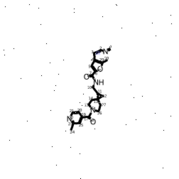 C=N/C=C\c1cc(C(=O)NCC2CC23CCN(C(=O)c2ccnc(C)c2)CC3)oc1C